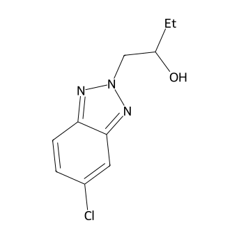 CCC(O)Cn1nc2ccc(Cl)cc2n1